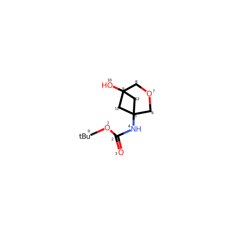 CC(C)(C)OC(=O)NC12COCC(O)(C1)C2